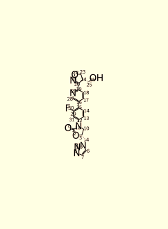 O=C1O[C@@H](Cn2ccnn2)CN1c1ccc(-c2ccc(C3=NOC[C@@H]3CO)nc2)c(F)c1